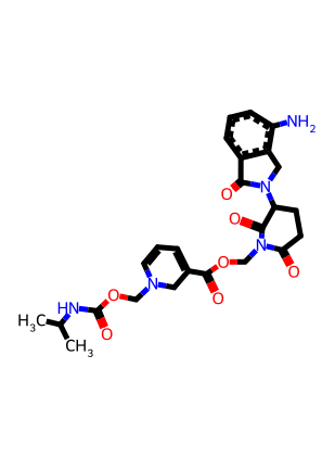 CC(C)NC(=O)OCN1C=CC=C(C(=O)OCN2C(=O)CCC(N3Cc4c(N)cccc4C3=O)C2=O)C1